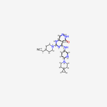 N#CCC1CCN(c2nc(Nc3ccc(N4CCC5(CC4)CC5)nc3)c3c(=O)[nH]ncc3n2)CC1